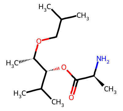 CC(C)CO[C@@H](C)[C@H](OC(=O)[C@H](C)N)C(C)C